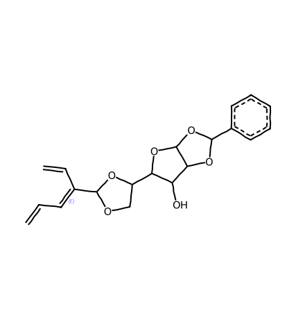 C=C/C=C(\C=C)C1OCC(C2OC3OC(c4ccccc4)OC3C2O)O1